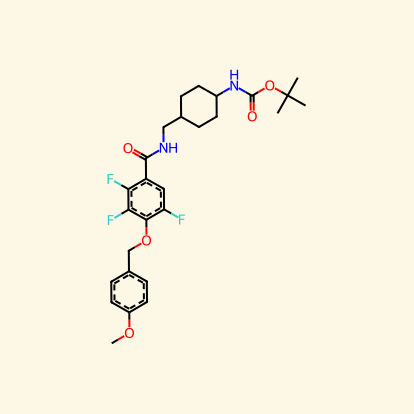 COc1ccc(COc2c(F)cc(C(=O)NCC3CCC(NC(=O)OC(C)(C)C)CC3)c(F)c2F)cc1